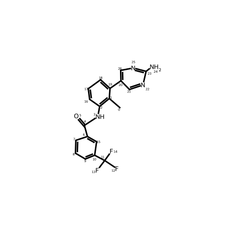 Cc1c(NC(=O)c2cccc(C(F)(F)F)c2)cccc1-c1cnc(N)nc1